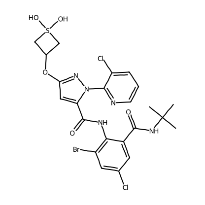 CC(C)(C)NC(=O)c1cc(Cl)cc(Br)c1NC(=O)c1cc(OC2CS(O)(O)C2)nn1-c1ncccc1Cl